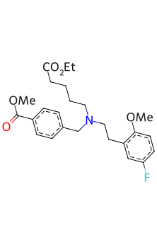 CCOC(=O)CCCCN(CCc1cc(F)ccc1OC)Cc1ccc(C(=O)OC)cc1